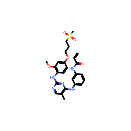 C=CC(=O)Nc1cccc(Nc2nc(Nc3ccc(OCCCS(C)(=O)=O)cc3OC)ncc2C)c1